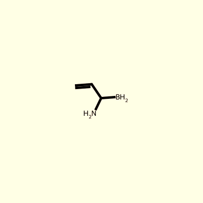 BC(N)C=C